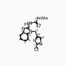 CNC(=O)Nc1nc2ccccc2n1Cc1csc(Cl)n1